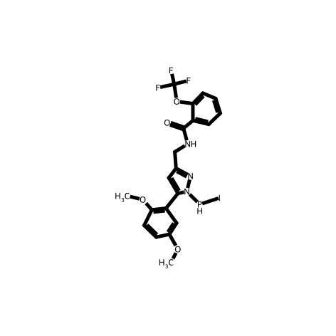 COc1ccc(OC)c(-c2cc(CNC(=O)c3ccccc3OC(F)(F)F)nn2PI)c1